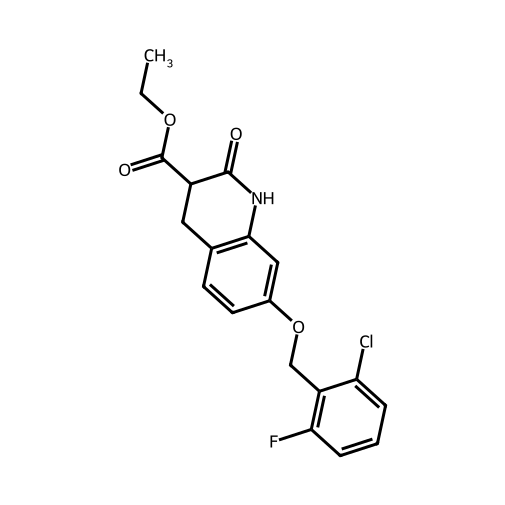 CCOC(=O)C1Cc2ccc(OCc3c(F)cccc3Cl)cc2NC1=O